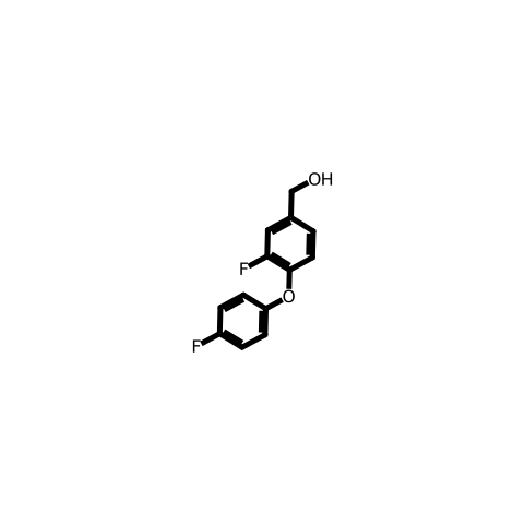 OCc1ccc(Oc2ccc(F)cc2)c(F)c1